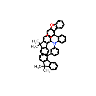 CC1(C)c2ccccc2-c2c(-c3cccc(N(c4ccccc4-c4cccc5oc6ccccc6c45)c4cccc5c4-c4ccccc4C5(C)C)c3)cccc21